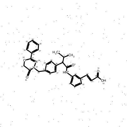 CC(C)C(C(=O)Nc1cccc(C=CC(=O)O)c1)c1ccc(CN2N=C(c3ccccc3)OCC2=O)cc1